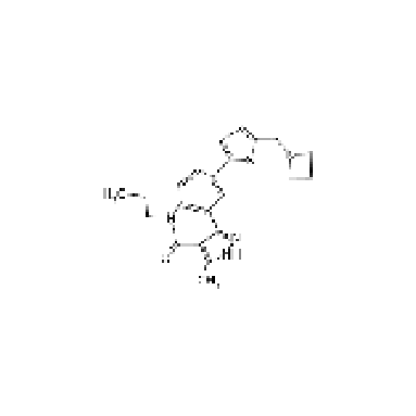 CCCn1c(=O)c2c(C)[nH]nc2c2cc(-c3ccc(CN4CCC4)s3)ccc21